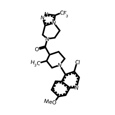 COc1ccc2c(N3CCC(C(=O)N4CCn5c(nnc5C(F)(F)F)C4)C(C)C3)c(Cl)cnc2c1